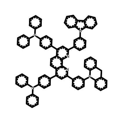 c1ccc(N(c2ccccc2)c2ccc(-c3cc(-c4cccc(N5c6ccccc6Cc6ccccc65)c4)nc4c3ccc3c(-c5ccc(N(c6ccccc6)c6ccccc6)cc5)cc(-c5cccc(-n6c7ccccc7c7ccccc76)c5)nc34)cc2)cc1